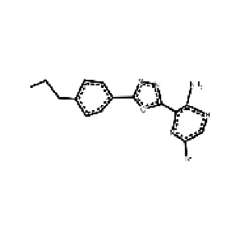 CCCc1ccc(-c2nnc(-c3nc(Br)cnc3N)o2)cc1